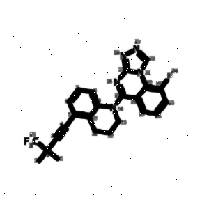 CC(C)(C#Cc1cccc2c1CCCN2c1nc2nncn2c2c(F)cccc12)C(F)(F)F